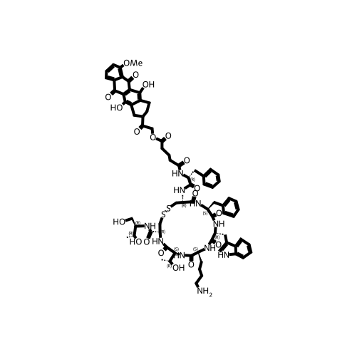 COc1cccc2c1C(=O)c1c(O)c3c(c(O)c1C2=O)CC(C(=O)COC(=O)CCCC(=O)N[C@H](Cc1ccccc1)C(=O)N[C@H]1CSSC[C@@H](C(=O)N[C@H](CO)[C@@H](C)O)NC(=O)[C@H]([C@@H](C)O)NC(=O)[C@H](CCCCN)NC(=O)[C@@H](Cc2c[nH]c4ccccc24)NC(=O)[C@H](Cc2ccccc2)NC1=O)CC3